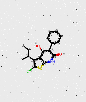 CCC(C)c1c(Cl)sc2[nH]c(=O)c(-c3ccccc3)c(O)c12